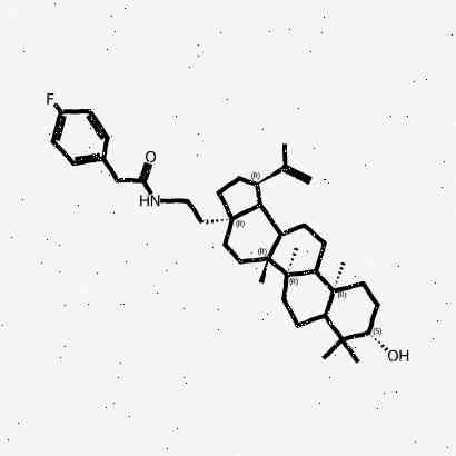 C=C(C)[C@@H]1CC[C@]2(CCNC(=O)Cc3ccc(F)cc3)CC[C@]3(C)C(CCC4[C@@]5(C)CC[C@H](O)C(C)(C)C5CC[C@]43C)C12